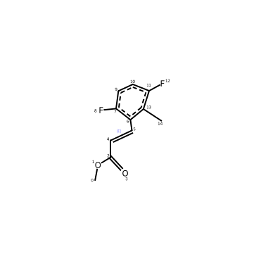 COC(=O)/C=C/c1c(F)ccc(F)c1C